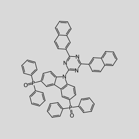 O=P(c1ccccc1)(c1ccccc1)c1ccc2c(c1)c1cc(P(=O)(c3ccccc3)c3ccccc3)ccc1n2-c1nc(-c2ccc3ccccc3c2)nc(-c2ccc3ccccc3c2)n1